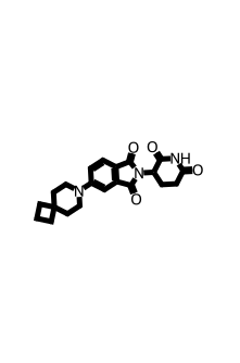 O=C1CCC(N2C(=O)c3ccc(N4CCC5(CCC5)CC4)cc3C2=O)C(=O)N1